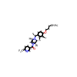 CC(=O)NCCCOc1ccc([C@H](C)N2C[C@@H]3C[C@H]2CN3C(=O)c2ccc(C(F)(F)F)nc2)c(C)c1C